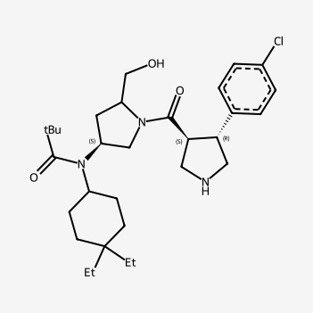 CCC1(CC)CCC(N(C(=O)C(C)(C)C)[C@H]2CC(CO)N(C(=O)[C@@H]3CNC[C@H]3c3ccc(Cl)cc3)C2)CC1